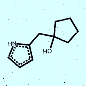 OC1(Cc2ccc[nH]2)CCCC1